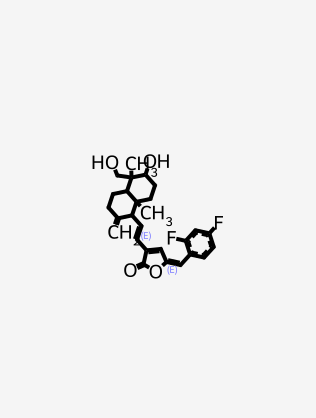 C=C1CCC2C(C)(CO)C(O)CCC2(C)C1/C=C/C1=CC(=C\c2ccc(F)cc2F)/OC1=O